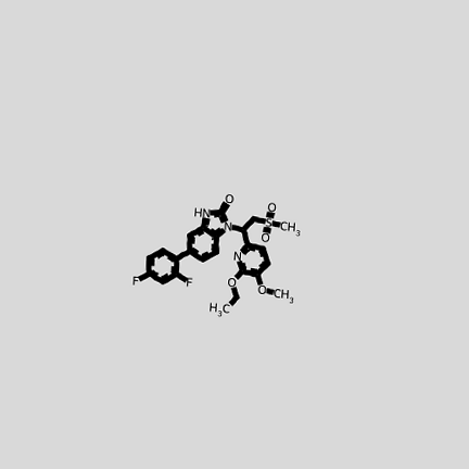 CCOc1nc(C(CS(C)(=O)=O)n2c(=O)[nH]c3cc(-c4ccc(F)cc4F)ccc32)ccc1OC